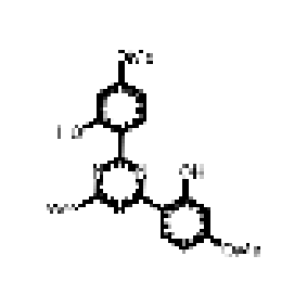 COc1ccc(-c2nc(SC)nc(-c3ccc(OC)cc3O)n2)c(O)c1